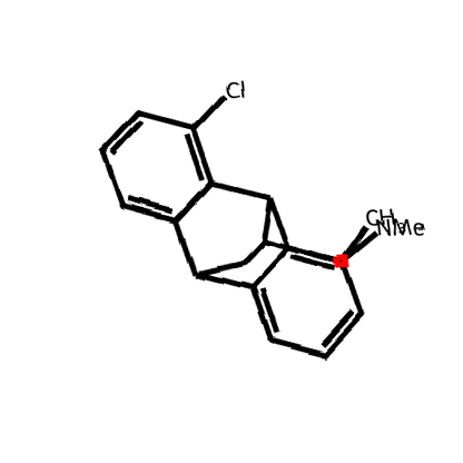 CNCC1CC2c3cccc(C)c3C1c1c(Cl)cccc12